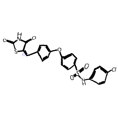 O=C1NC(=O)/C(=C\c2ccc(Oc3ccc(S(=O)(=O)Nc4ccc(Cl)cc4)cc3)cc2)S1